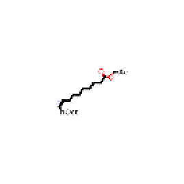 CCCCCCCC/C=C\CCCCCCCC(=O)OCC(C)=O